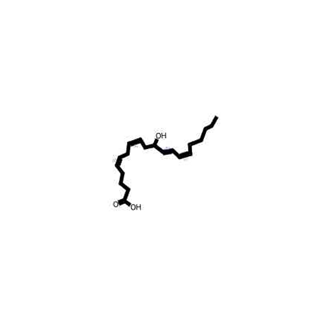 CCCCC/C=C\C=C\C(O)C/C=C\C/C=C\CCCC(=O)O